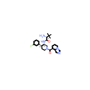 CC(C)(C)[C@H](N)C(=O)N[C@@H]1CN(C(=O)c2cccn3cncc23)CC[C@H]1c1cccc(F)c1